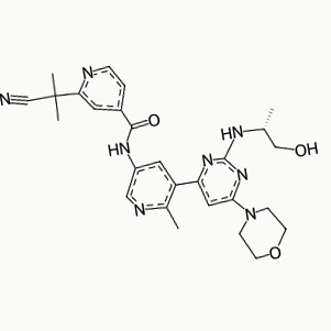 Cc1ncc(NC(=O)c2ccnc(C(C)(C)C#N)c2)cc1-c1cc(N2CCOCC2)nc(N[C@H](C)CO)n1